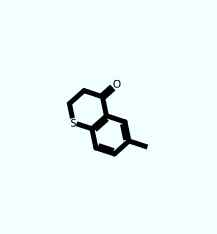 Cc1ccc2c(c1)C(=O)CCS2